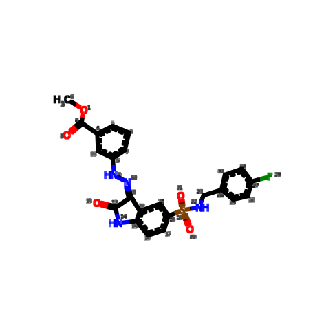 COC(=O)c1cccc(N/N=C2\C(=O)Nc3ccc(S(=O)(=O)NCc4ccc(F)cc4)cc32)c1